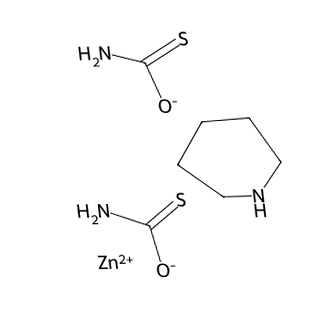 C1CCNCC1.NC([O-])=S.NC([O-])=S.[Zn+2]